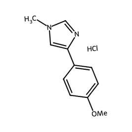 COc1ccc(-c2cn(C)cn2)cc1.Cl